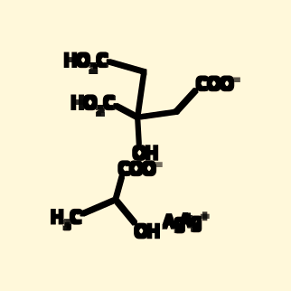 CC(O)C(=O)[O-].O=C([O-])CC(O)(CC(=O)O)C(=O)O.[Ag+].[Ag+]